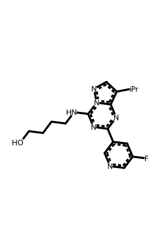 CC(C)c1cnn2c(NCCCCO)nc(-c3cncc(F)c3)nc12